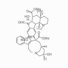 CC[C@]1(O)C[C@@H]2C[N@@](CCc3c([nH]c4ccccc34)[C@@](C(=O)OC)(C3C=C4C(=CC3OC)N(C=O)[C@H]3[C@@](O)(C(=O)OC)[C@H](OC(C)=O)[C@]5(CC)CCCN6CC[C@]43[C@@H]65)C2)C1